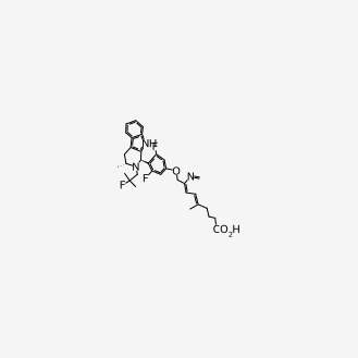 C=N/C(=C\C=C(/C)CCCC(=O)O)COc1cc(F)c([C@@H]2c3[nH]c4ccccc4c3C[C@@H](C)N2CC(C)(C)F)c(F)c1